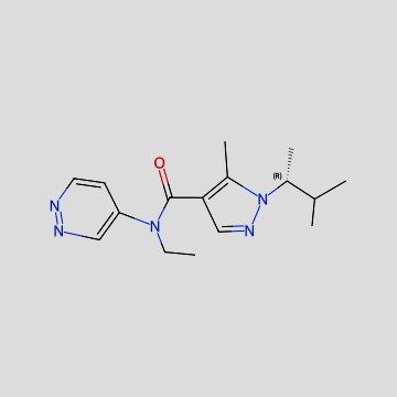 CCN(C(=O)c1cnn([C@H](C)C(C)C)c1C)c1ccnnc1